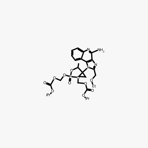 CCOCc1nc2c(N)nc3ccccc3c2n1C1(C(C)OP(=O)(OCOC(=O)OC(C)C)OCOC(=O)OC(C)C)CC1